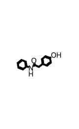 O=C(Cc1ccc(O)cc1)Nc1ccccc1